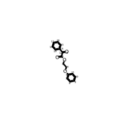 O=C(OCCOc1ccccc1)C(=O)c1ccccc1